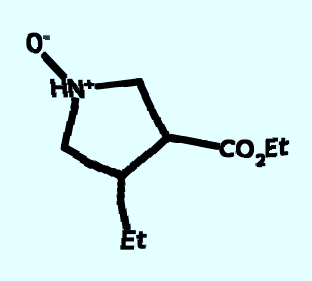 CCOC(=O)C1C[NH+]([O-])CC1CC